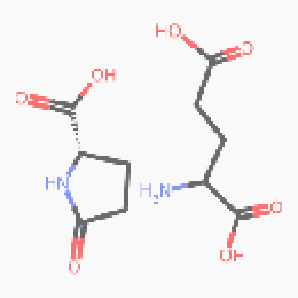 NC(CCC(=O)O)C(=O)O.O=C1CC[C@@H](C(=O)O)N1